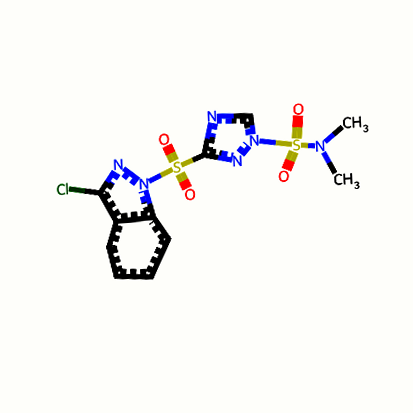 CN(C)S(=O)(=O)n1cnc(S(=O)(=O)n2nc(Cl)c3ccccc32)n1